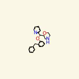 c1ccc(Cc2ccccc2OC(c2ccccn2)C2CNCCO2)cc1